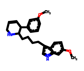 COc1cccc(C2C=CCNC2CCCCc2c[nH]c3cc(OC)ccc23)c1